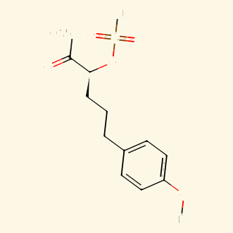 CCOc1ccc(CCC[C@H](OS(=O)(=O)C(F)(F)F)C(=O)OC)cc1